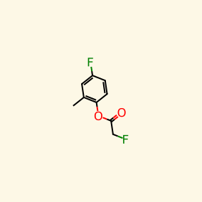 Cc1cc(F)ccc1OC(=O)CF